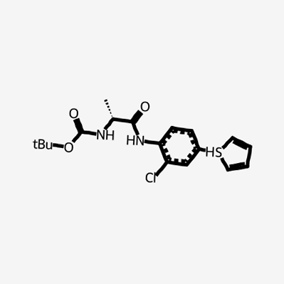 C[C@@H](NC(=O)OC(C)(C)C)C(=O)Nc1ccc([SH]2C=CC=C2)cc1Cl